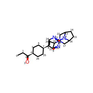 CCC(=O)[C@H]1CC[C@@H](c2cnc(N3C4CCC3CN(C(C)C)C4)nc2)CC1